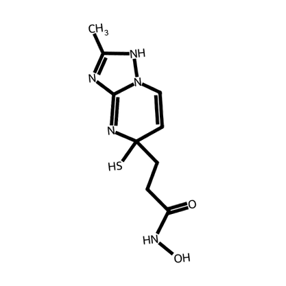 CC1=NC2=NC(S)(CCC(=O)NO)C=CN2N1